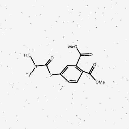 COC(=O)c1ccc(SC(=O)N(C)C)cc1C(=O)OC